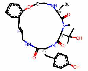 CCC(C)[C@@H]1NCCOc2ccccc2/C=C/CNC(=O)[C@@H](Cc2ccc(O)cc2)NC(=O)[C@H](C(C)(C)O)N(C)C1=O